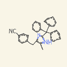 Cc1[nH]c(C(c2ccccc2)(c2ccccc2)c2ccccc2)nc1Cc1ccc(C#N)cc1